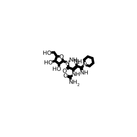 N=C(/C(N)=C(\NC(N)=O)C(=O)N(N)C1OC(CO)C(O)C1O)N1CCCCC1